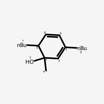 CCCCC1=CC(C)(O)C(CCCC)C=C1